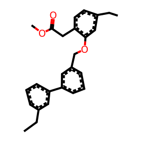 CCc1cccc(-c2cccc(COc3cc(CC)ccc3CC(=O)OC)c2)c1